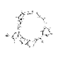 O=C(O)C[C@H]1c2ccc3c(c2)CN(CC3)C(=O)c2cccc(c2)OCCCCCn2nnc3cc1ccc32